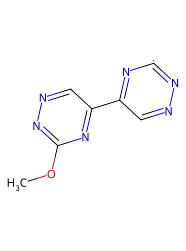 COc1nncc(-c2cnn[c]n2)n1